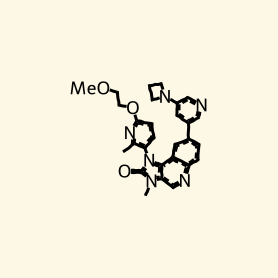 COCCOc1ccc(-n2c(=O)n(C)c3cnc4ccc(-c5cncc(N6CCC6)c5)cc4c32)c(C)n1